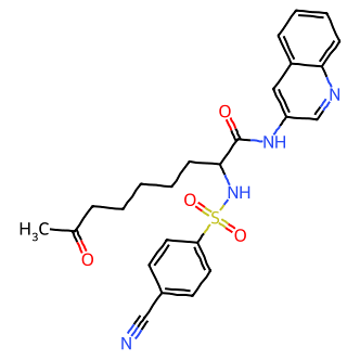 CC(=O)CCCCCC(NS(=O)(=O)c1ccc(C#N)cc1)C(=O)Nc1cnc2ccccc2c1